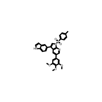 COc1cc(-c2cnc3c(c2)c(-c2ccc4[nH]ccc4c2)cn3S(=O)(=O)c2ccc(C)cc2)cc(OC)c1OC